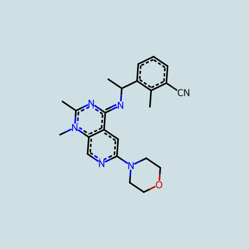 Cc1c(C#N)cccc1C(C)N=c1nc(C)n(C)c2cnc(N3CCOCC3)cc12